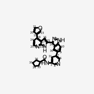 O=C(Nc1cncc(-c2ccc3[nH]nc(-c4cc5c(-c6ccoc6)ccnc5[nH]4)c3c2)c1)C1CCCC1